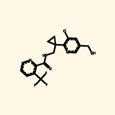 O=C(NCC1(c2ncc(CO)cc2Cl)CC1)c1ncccc1C(F)(F)F